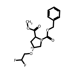 COC(=O)C1C[C@@H](OCC(F)F)CN1C(=O)OCc1ccccc1